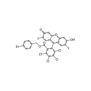 CCc1ccc(COC(=O)c2c(Cl)c(Cl)c(Cl)c(Cl)c2-c2c3cc(I)c(=O)cc-3oc3cc(O)c(I)cc23)cc1